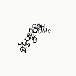 COc1cc(-c2nc3ccc(C(=O)Nc4cccnc4)cc3n2C2(C)COC2)c(F)c(O)c1O